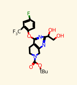 CC(C)(C)OC(=O)N1CCc2c(nc(C(O)CO)nc2Oc2ccc(F)cc2C(F)(F)F)C1